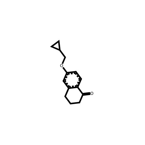 O=C1CCCc2cc(OCC3CC3)ccc21